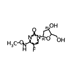 CONc1nc(=O)n([C@H]2C[C@@H](O)C(CO)O2)cc1F